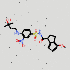 COc1cccc2c1CCC2C(=O)NS(=O)(=O)c1ccc(NCCC(C)(C)O)c([N+](=O)[O-])c1